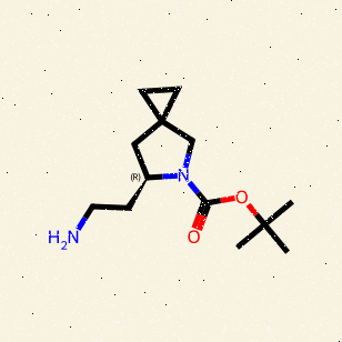 CC(C)(C)OC(=O)N1CC2(CC2)C[C@@H]1CCN